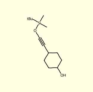 CC(C)(C)[Si](C)(C)OC#CC1CCC(O)CC1